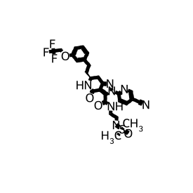 CS(C)(=O)=NCCNC(=O)c1c2c(nn1-c1ccc(C#N)cn1)C[C@H](CCc1cccc(OCC(F)(F)F)c1)NC2=O